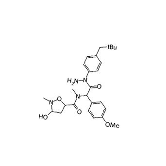 COc1ccc(C(C(=O)N(N)c2ccc(CC(C)(C)C)cc2)N(C)C(=O)C2CC(O)N(C)O2)cc1